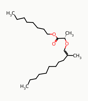 CCCCCCCCCC(C)=CO[C@@H](C)C(=O)OCCCCCCCC